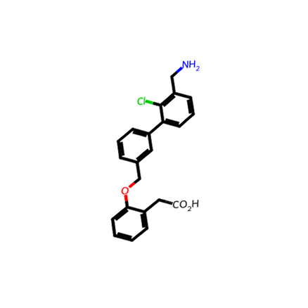 NCc1cccc(-c2cccc(COc3ccccc3CC(=O)O)c2)c1Cl